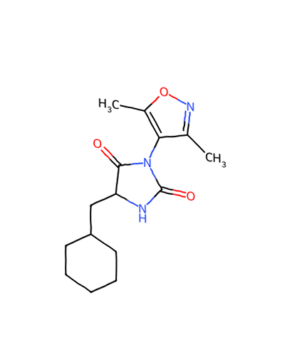 Cc1noc(C)c1N1C(=O)NC(CC2CCCCC2)C1=O